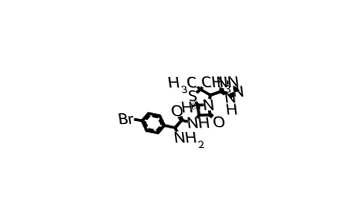 CC1(C)S[C@H]2C(NC(=O)C(N)c3ccc(Br)cc3)C(=O)N2C1c1nnn[nH]1